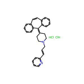 C1=Cc2ccccc2C(=C2CCN(C/C=C/c3ccccn3)CC2)c2ccccc21.Cl.Cl